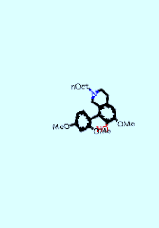 CCCCCCCCN1CCc2cc(OC)c(O)c(-c3ccc(OC)cc3OC)c2C1